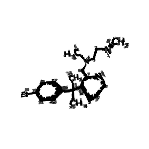 C=NCCN(C)Cc1ncccc1C(C)(C)c1ccc(CC)cc1